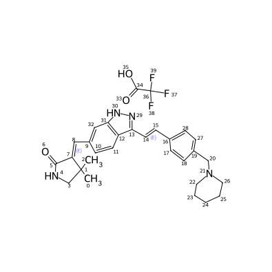 CC1(C)CNC(=O)/C1=C/c1ccc2c(/C=C/c3ccc(CN4CCCCC4)cc3)n[nH]c2c1.O=C(O)C(F)(F)F